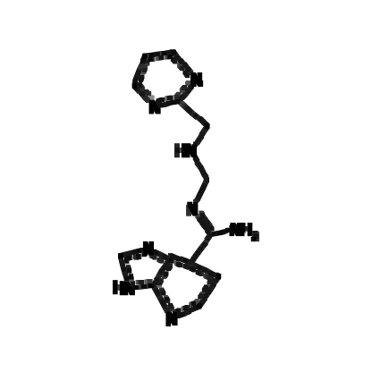 NC(=NCNCc1ncccn1)c1ccnc2[nH]cnc12